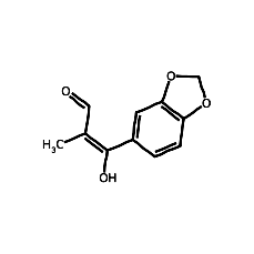 CC(C=O)=C(O)c1ccc2c(c1)OCO2